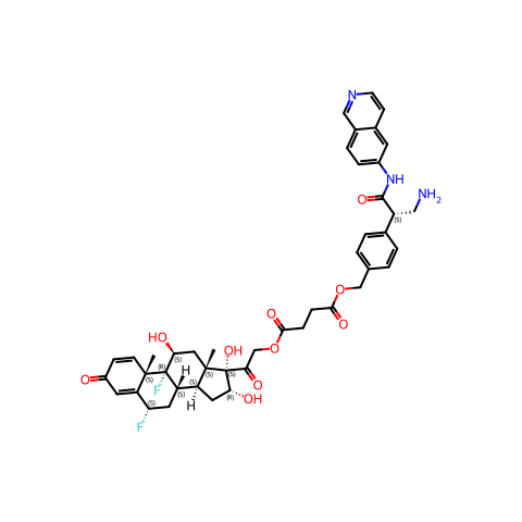 C[C@]12C=CC(=O)C=C1[C@@H](F)C[C@H]1[C@@H]3C[C@@H](O)[C@](O)(C(=O)COC(=O)CCC(=O)OCc4ccc([C@@H](CN)C(=O)Nc5ccc6cnccc6c5)cc4)[C@@]3(C)C[C@H](O)[C@@]12F